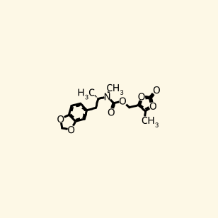 Cc1oc(=O)oc1COC(=O)N(C)[C@@H](C)Cc1ccc2c(c1)OCO2